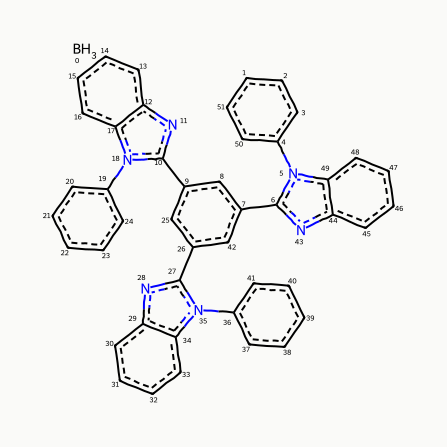 B.c1ccc(-n2c(-c3cc(-c4nc5ccccc5n4-c4ccccc4)cc(-c4nc5ccccc5n4-c4ccccc4)c3)nc3ccccc32)cc1